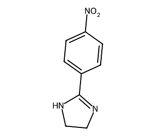 O=[N+]([O-])c1ccc(C2=NCCN2)cc1